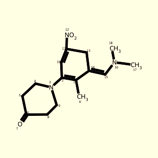 CC1=C(N2CCC(=O)CC2)C=C([N+](=O)[O-])CC1=CN(C)C